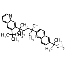 CC(C)(C)c1ccc2nc(C(C)(C)CCC(C)(C)c3cc4ncccc4cc3C(C)(C)C)ccc2c1